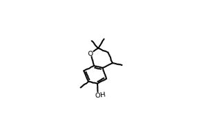 Cc1cc2c(cc1O)C(C)CC(C)(C)O2